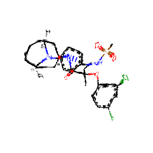 CC(C)(Oc1ccc(F)cc1Cl)C(=O)N[C@H]1C[C@H]2CC[C@@H](C1)N2c1ccc(NS(C)(=O)=O)cc1